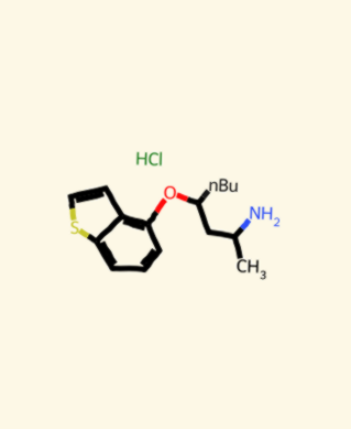 CCCCC(CC(C)N)Oc1cccc2sccc12.Cl